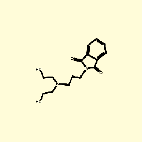 O=C1c2ccccc2C(=O)N1CCCN(CCO)CCO